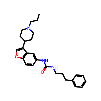 CCCN1CCC(c2coc3ccc(NC(=O)NCCCc4ccccc4)cc23)CC1